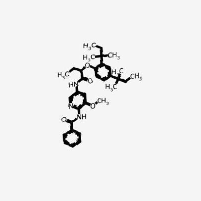 CCC(Oc1ccc(C(C)(C)CC)cc1C(C)(C)CC)C(=O)Nc1cnc(NC(=O)c2ccccc2)c(OC)c1